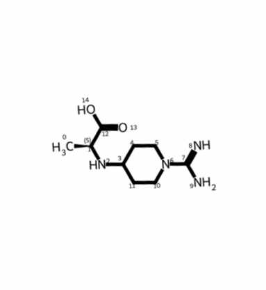 C[C@H](NC1CCN(C(=N)N)CC1)C(=O)O